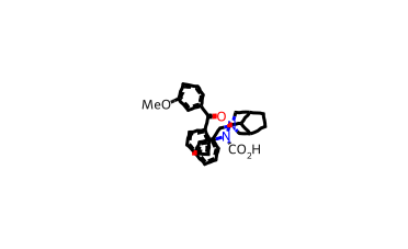 COc1cccc(C(=O)c2ccccc2N(CC2C3CCC2CN(Cc2ccccc2)C3)C(=O)O)c1